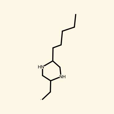 [CH2]CC1CNC(CCCCC)CN1